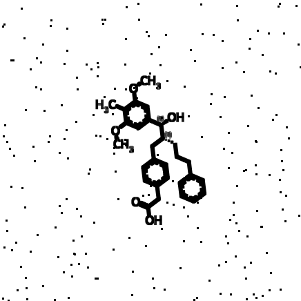 COc1cc([C@@H](O)[C@H](CCCc2ccccc2)Cc2ccc(CC(=O)O)cc2)cc(OC)c1C